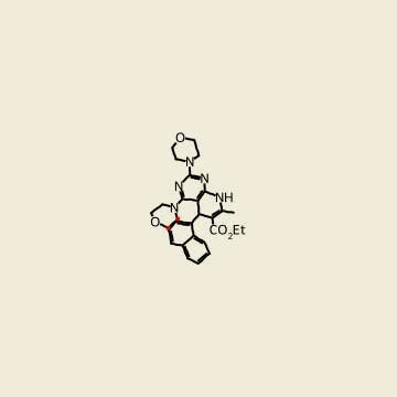 CCOC(=O)C1=C(C)Nc2nc(N3CCOCC3)nc(N3CCOCC3)c2C1c1cccc2ccccc12